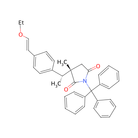 CCO/C=C/c1ccc([C@@H](C)[C@]2(C)CC(=O)N(C(c3ccccc3)(c3ccccc3)c3ccccc3)C2=O)cc1